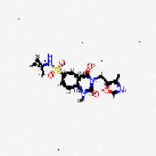 Cc1ncoc1Cn1c(=O)c2cc(S(=O)(=O)NC3(C)CC3)ccc2n(C)c1=O